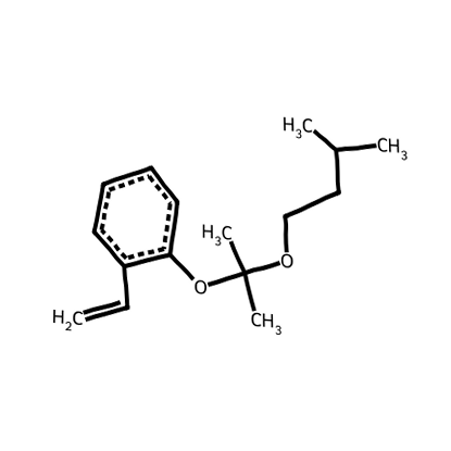 C=Cc1ccccc1OC(C)(C)OCCC(C)C